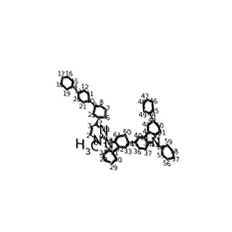 CN1C=CC(c2cccc(-c3ccc(-c4ccccc4)cc3)c2)=NC1n1c2ccccc2c2cc(-c3ccc4c(c3)c3cc(-c5ccccc5)ccc3n4-c3ccccc3)ccc21